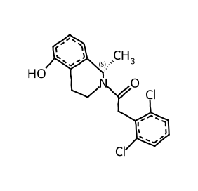 C[C@H]1c2cccc(O)c2CCN1C(=O)Cc1c(Cl)cccc1Cl